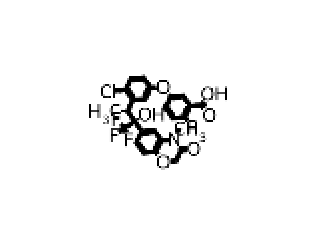 C[C@@H](c1cc(Oc2ccc(F)c(C(=O)O)c2)ccc1Cl)[C@](O)(c1ccc2c(c1)N(C)C(=O)CO2)C(F)(F)F